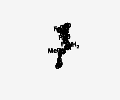 COc1cc(-c2cnc(N)c(-c3ccc(NC(=O)c4cn5c(c(-c6ccc(F)cc6)c4=O)C(=O)N4CCOC4C5)cc3F)c2)ccc1OCCOCC1COCCO1